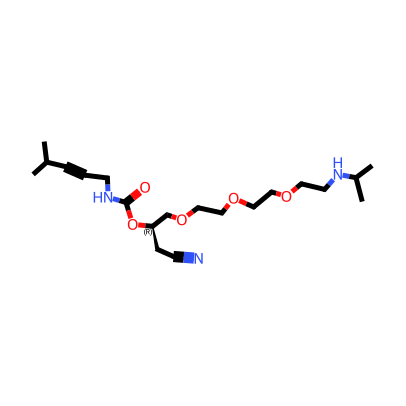 CC(C)C#CCNC(=O)O[C@H](CC#N)COCCOCCOCCNC(C)C